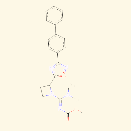 CC(C)(C)OC(=O)N=C(N1CCC1c1nc(-c2ccc(-c3ccccc3)cc2)no1)N(C(=O)O)C(C)(C)C